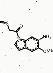 C=NCC(=O)n1ccc2cc(OC)c(N)cc21